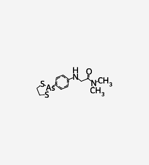 CN(C)C(=O)CNc1ccc([As]2SCCS2)cc1